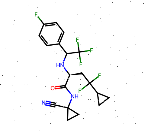 N#CC1(NC(=O)[C@H](CC(F)(F)C2CC2)NC(c2ccc(F)cc2)C(F)(F)F)CC1